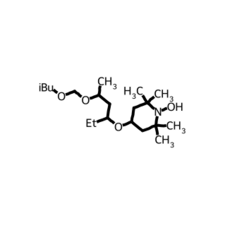 CCC(C)OCOC(C)CC(CC)OC1CC(C)(C)N(O)C(C)(C)C1